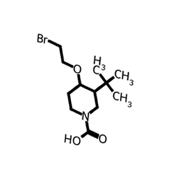 CC(C)(C)C1CN(C(=O)O)CCC1OCCBr